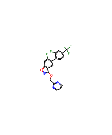 Fc1cc(C(F)(F)F)ccc1-c1cc2c(OCc3ncccn3)noc2cc1F